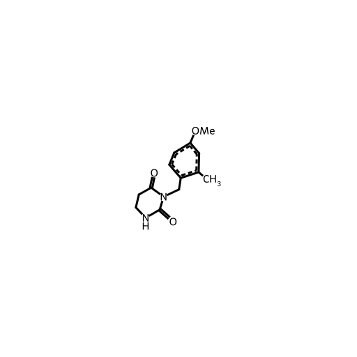 COc1ccc(CN2C(=O)CCNC2=O)c(C)c1